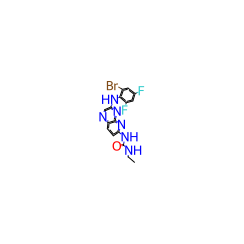 CCNC(=O)Nc1ccc2ncc(Nc3c(F)cc(F)cc3Br)nc2n1